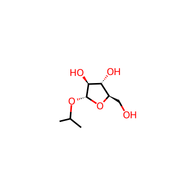 CC(C)O[C@H]1O[C@H](CO)[C@@H](O)[C@@H]1O